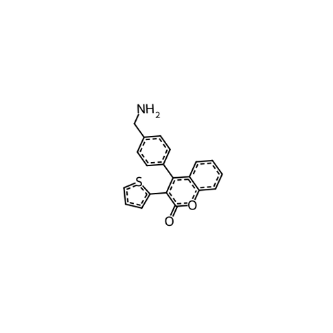 NCc1ccc(-c2c(-c3cccs3)c(=O)oc3ccccc23)cc1